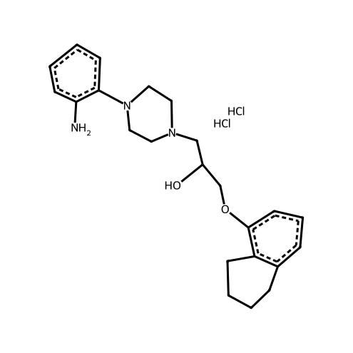 Cl.Cl.Nc1ccccc1N1CCN(CC(O)COc2cccc3c2CCCC3)CC1